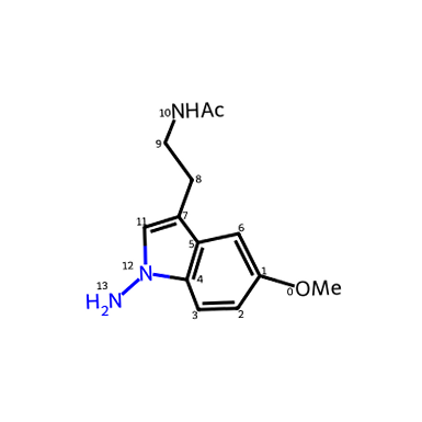 COc1ccc2c(c1)c(CCNC(C)=O)cn2N